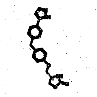 O=C1N[C@@H](COc2ccc(Cc3ccc(-c4ccn[nH]4)cc3)cc2)CO1